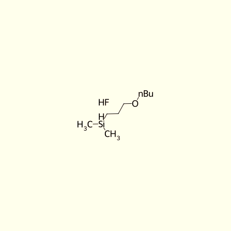 CCCCOCCC[SiH](C)C.F